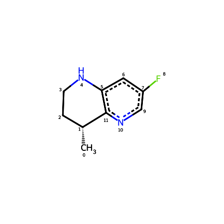 C[C@@H]1CCNc2cc(F)cnc21